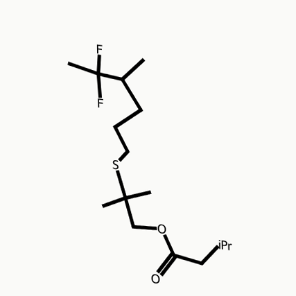 CC(C)CC(=O)OCC(C)(C)SCCCC(C)C(C)(F)F